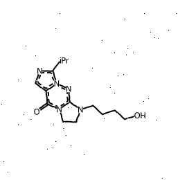 CC(C)c1ncc2c(=O)n3c(nn12)N(CCCCO)CC3